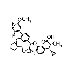 COCC1CCCN1Cc1cc(C2CCc3ccc([C@H](C4CC4)[C@H](C)C(=O)O)cc3O2)ccc1-c1cc(OC)ncc1F